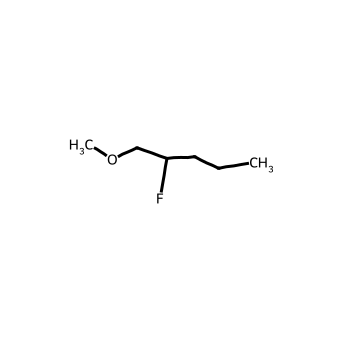 CCCC(F)COC